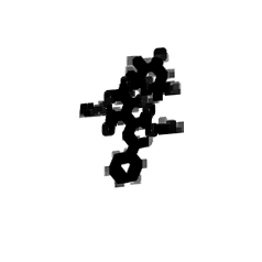 CCCCOC(=O)C(CC(C)c1ccccc1)C(C(=O)OC)C(ON1C(C)(CC)CC(=O)C(C)C1(C)CC)C(=O)OC